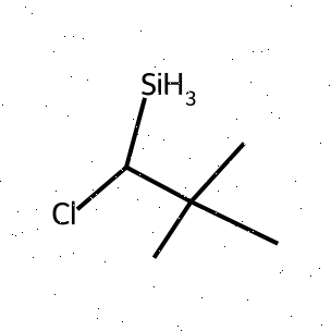 CC(C)(C)C([SiH3])Cl